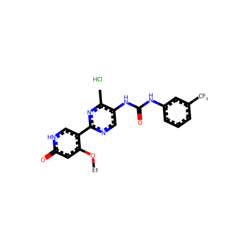 CCOc1cc(=O)[nH]cc1-c1ncc(NC(=O)Nc2cccc(C(F)(F)F)c2)c(C)n1.Cl